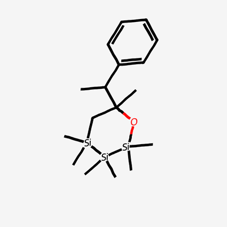 CC(c1ccccc1)C1(C)C[Si](C)(C)[Si](C)(C)[Si](C)(C)O1